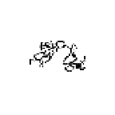 O=C(c1ccc(NS(=O)(=O)c2ccc(F)c3nccnc23)cc1)N1CCC(O)(c2ccccc2Cl)CC1